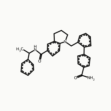 CC(NC(=O)c1ccc2c(c1)CCCN2Cc1ccccc1-c1ccc(C(N)=O)cc1)c1ccccc1